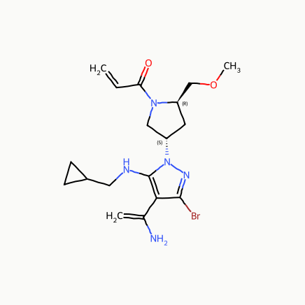 C=CC(=O)N1C[C@@H](n2nc(Br)c(C(=C)N)c2NCC2CC2)C[C@@H]1COC